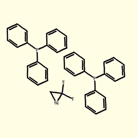 F[C]1(F)[CH2][Ni]1.c1ccc(P(c2ccccc2)c2ccccc2)cc1.c1ccc(P(c2ccccc2)c2ccccc2)cc1